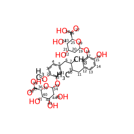 COc1ccc(CC(C)C(C)Cc2ccc(O)c(O[C@H]3C[C@@H](O)[C@H](O)[C@@H](C(=O)O)O3)c2)cc1O[C@@H]1O[C@H](C(=O)O)[C@@H](O)[C@H](O)[C@H]1O